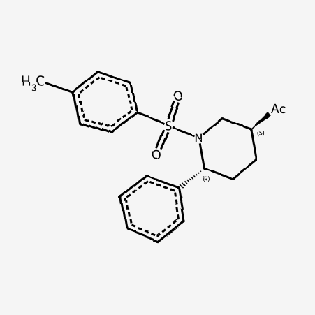 CC(=O)[C@H]1CC[C@H](c2ccccc2)N(S(=O)(=O)c2ccc(C)cc2)C1